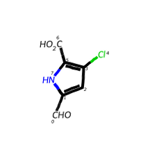 O=Cc1cc(Cl)c(C(=O)O)[nH]1